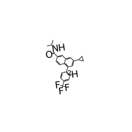 [2H]c1cc(C(F)(F)F)ccc1-c1cc(C2CC2)cc2cc(C(=O)NC(C)C)ccc12